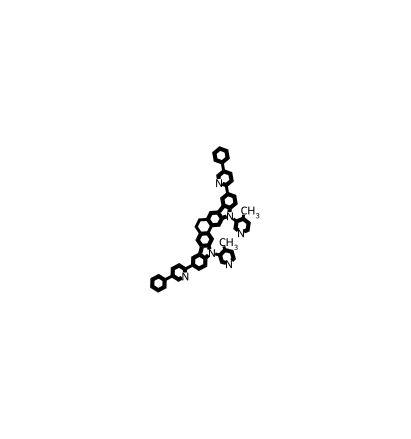 Cc1ccncc1-n1c2ccc(-c3ccc(-c4ccccc4)cn3)cc2c2cc3c(cc21)-c1cc2c(cc1CC3)c1cc(-c3ccc(-c4ccccc4)cn3)ccc1n2-c1cnccc1C